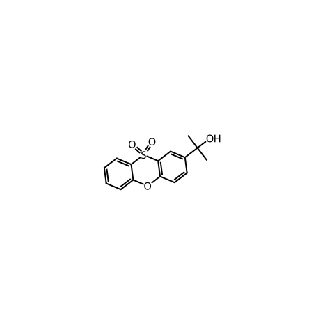 CC(C)(O)c1ccc2c(c1)S(=O)(=O)c1ccccc1O2